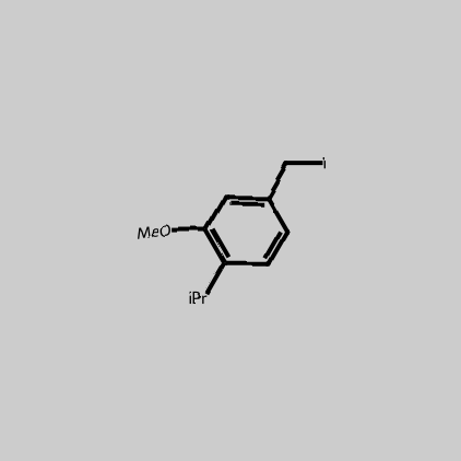 COc1cc(CI)ccc1C(C)C